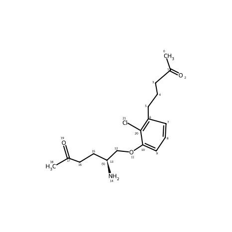 CC(=O)CCCc1cccc(OC[C@@H](N)CCC(C)=O)c1Cl